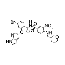 O=C(NS(=O)(=O)c1ccc(NCC2CCCOC2)c([N+](=O)[O-])c1)c1ccc(Br)cc1Oc1cnc2[nH]ccc2c1